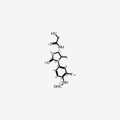 CC1[C@@H](NC(=O)CS)OC(=O)N1c1ccc(NC=O)c(F)c1